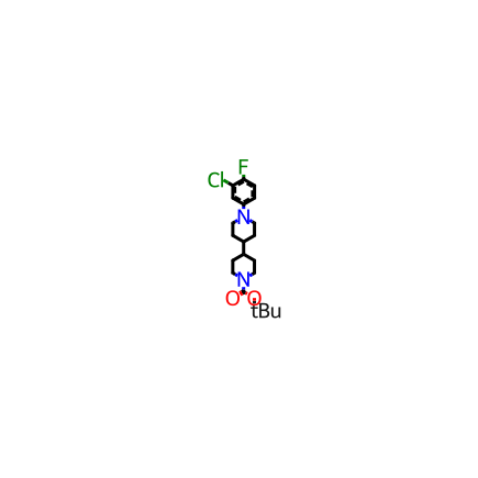 CC(C)(C)OC(=O)N1CCC(C2CCN(c3ccc(F)c(Cl)c3)CC2)CC1